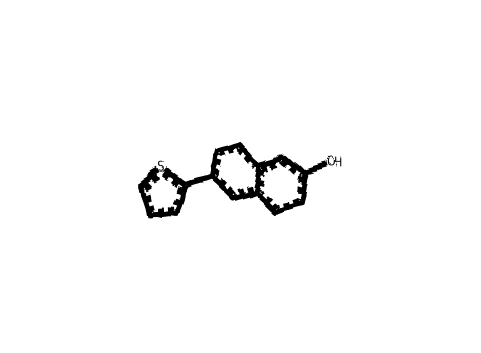 Oc1ccc2cc(-c3cccs3)ccc2c1